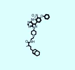 C[C@H](CCC1C=C2CCCC(C2)C1)C(=O)NCCN1CCC(n2nc(-c3ccc(Oc4ccccc4)c([N+](=O)[O-])c3)c3c(N)ncnc32)CC1